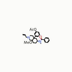 C=CCN1CCC2(c3cccc(OC(C)=O)c3)CC(N(C)C(=O)c3ccccc3)CCC2(OC)C1